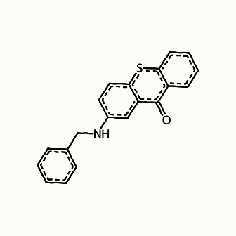 O=c1c2ccccc2sc2ccc(NCc3ccccc3)cc12